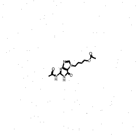 CC(=O)Nc1nc2ncn(CCCCOC(C)=O)c2c(=O)[nH]1